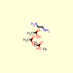 CC(=O)O.CC(=O)O.CC(=O)O.NCCN.[Fe]